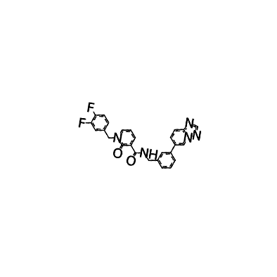 O=C(NCc1cccc(-c2ccc3ncnn3c2)c1)c1cccn(Cc2ccc(F)c(F)c2)c1=O